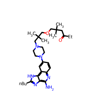 CCCCc1nc2c(N)nc3ccc(N4CCN(CC(C)(C)COCC(C)(C)CC(=O)CC)CC4)cc3c2[nH]1